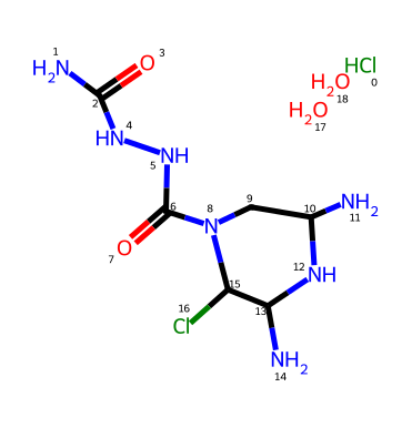 Cl.NC(=O)NNC(=O)N1CC(N)NC(N)C1Cl.O.O